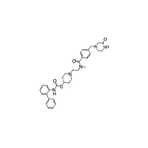 CN(CCN1CCC(OC(=O)Nc2ccccc2-c2ccccc2)CC1)C(=O)c1ccc(CN2CCNC(=O)C2)cc1